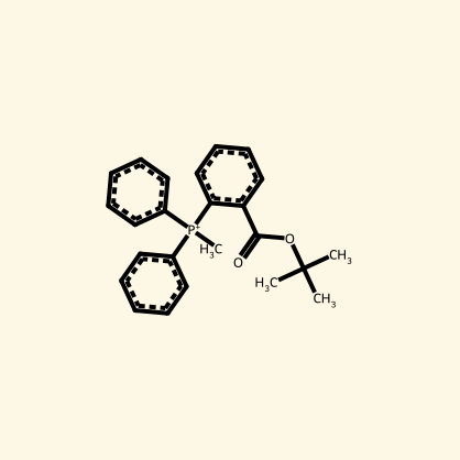 CC(C)(C)OC(=O)c1ccccc1[P+](C)(c1ccccc1)c1ccccc1